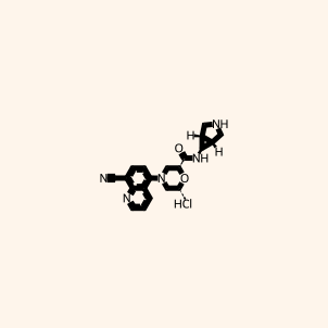 C[C@@H]1CN(c2ccc(C#N)c3ncccc23)C[C@H](C(=O)N[C@H]2[C@@H]3CNC[C@@H]32)O1.Cl